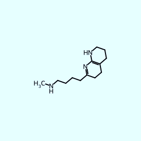 CNCCCCC1=NC2=C(CCCN2)CC1